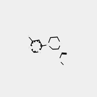 COC(=O)[C@@H]1CN(c2cc(Cl)ncn2)CCO1